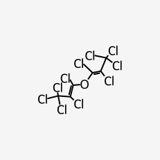 ClC(OC(Cl)=C(Cl)C(Cl)(Cl)Cl)=C(Cl)C(Cl)(Cl)Cl